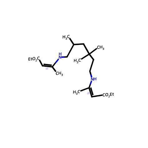 CCOC(=O)/C=C(/C)NCCC(C)(C)CC(C)CN/C(C)=C\C(=O)OCC